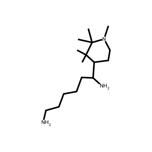 CN1CCC(C(N)CCCCCN)C(C)(C)C1(C)C